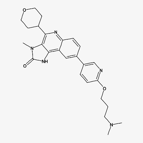 CN(C)CCCOc1ccc(-c2ccc3nc(C4CCOCC4)c4c([nH]c(=O)n4C)c3c2)cn1